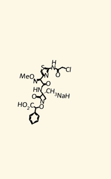 CON=C(C(=O)N[C@@]1(C)CN(OC(C(=O)O)c2ccccc2)C1=O)c1csc(NC(=O)CCl)n1.[NaH]